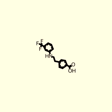 O=C(O)c1ccc(CCNc2cccc(C(F)(F)F)c2)cc1